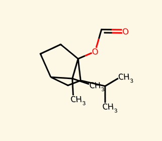 CC(C)C1CC2CCC1(OC=O)C2(C)C